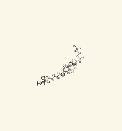 CC(C)CCCC(C)C/C=C/C1(C)CCc2cc(OCCCCCCC(=O)O)ccc2O1